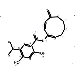 C=C1/C=C\C(NC(=S)c2cc(C(C)C)c(O)cc2O)=C/CCCC1